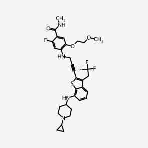 CNC(=O)c1cc(OCCOC)c(NCC#Cc2sc3c(NC4CCN(C5CC5)CC4)cccc3c2CC(F)(F)F)cc1F